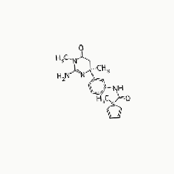 CN1C(=O)C[C@@](C)(c2cccc(NC(=O)S3(C)C=CC=C3)c2)N=C1N